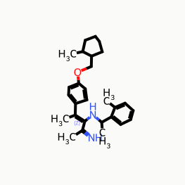 CC(=N)/C(NC(C)c1ccccc1C)=C(\C)c1ccc(OCC2CCCCC2C)cc1